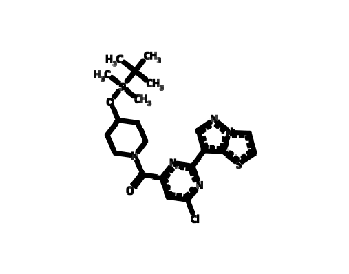 CC(C)(C)[Si](C)(C)OC1CCN(C(=O)c2cc(Cl)nc(-c3cnn4ccsc34)n2)CC1